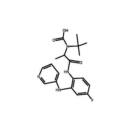 CC(C(=O)Nc1ccc(F)cc1Nc1cccnc1)N(C(=O)O)C(C)(C)C